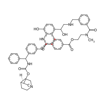 CN(CCOC(=O)c1ccc(COc2cccc(C(NC(=O)O[C@H]3CN4CCC3CC4)c3ccccc3)c2)cc1)C(=O)c1cccc(CNCC(O)c2ccc(O)c3[nH]c(=O)ccc23)c1